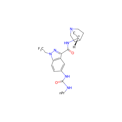 CCCNC(=O)Nc1ccc2c(c1)c(C(=O)N[C@@H]1CN3CCC1CC3)nn2CC(F)(F)F